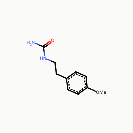 COc1ccc(CCNC(N)=O)cc1